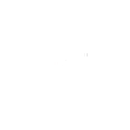 CC=CC1(c2ccccc2)CC1(Oc1ccccc1)c1ccccc1